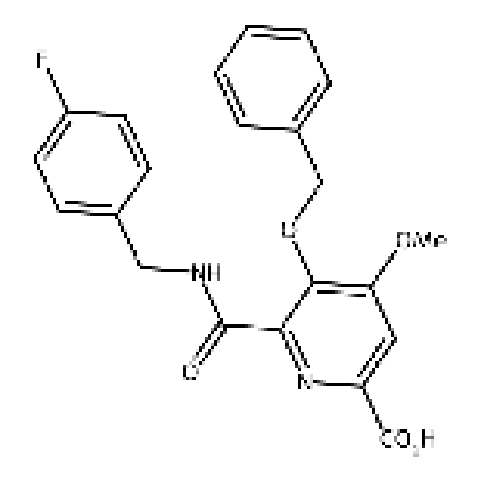 COc1cc(C(=O)O)nc(C(=O)NCc2ccc(F)cc2)c1OCc1ccccc1